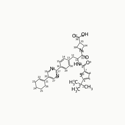 CC(C)(C)c1ccc(C(=O)NC(Cc2ccc(-c3ncc(C4=CCCCC4)cn3)cc2)C(=O)N2CC(C(=O)O)C2)s1